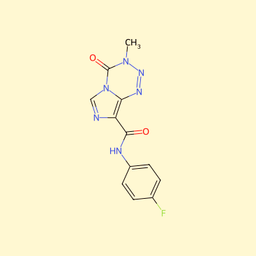 Cn1nnc2c(C(=O)Nc3ccc(F)cc3)ncn2c1=O